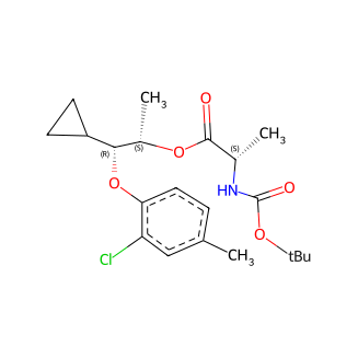 Cc1ccc(O[C@H](C2CC2)[C@H](C)OC(=O)[C@H](C)NC(=O)OC(C)(C)C)c(Cl)c1